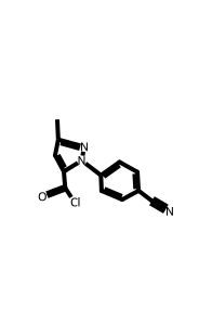 Cc1cc(C(=O)Cl)n(-c2ccc(C#N)cc2)n1